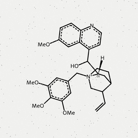 C=CC1C[N+]2(Cc3cc(OC)c(OC)c(OC)c3)CCC1C[C@H]2C(O)c1ccnc2ccc(OC)cc12